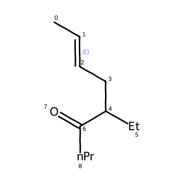 C/C=C/CC(CC)C(=O)CCC